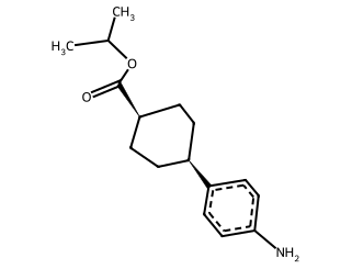 CC(C)OC(=O)[C@H]1CC[C@@H](c2ccc(N)cc2)CC1